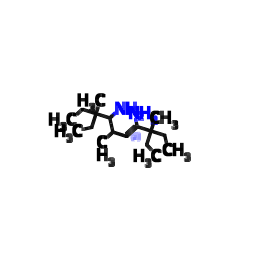 CCC(C)(CC)/C(N)=C/C(C)C(N)C(C)(CC)CC